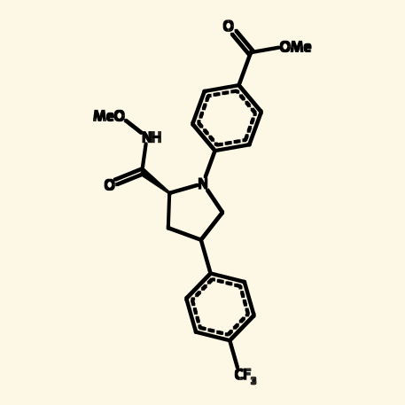 CONC(=O)[C@@H]1CC(c2ccc(C(F)(F)F)cc2)CN1c1ccc(C(=O)OC)cc1